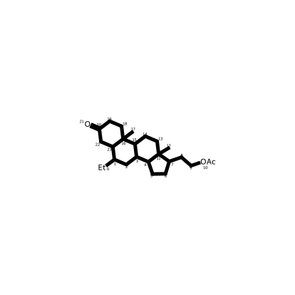 CCC1CC2C3CCC(CCOC(C)=O)C3(C)CCC2C2(C)CCC(=O)CC12